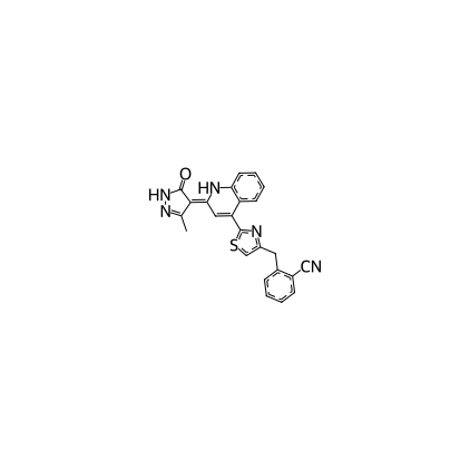 CC1=NNC(=O)/C1=C1/C=C(c2nc(Cc3ccccc3C#N)cs2)c2ccccc2N1